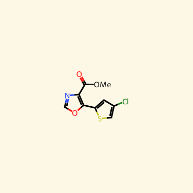 COC(=O)c1ncoc1-c1cc(Cl)cs1